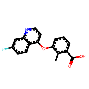 Cc1c(Oc2ccnc3cc(F)ccc23)cccc1C(=O)O